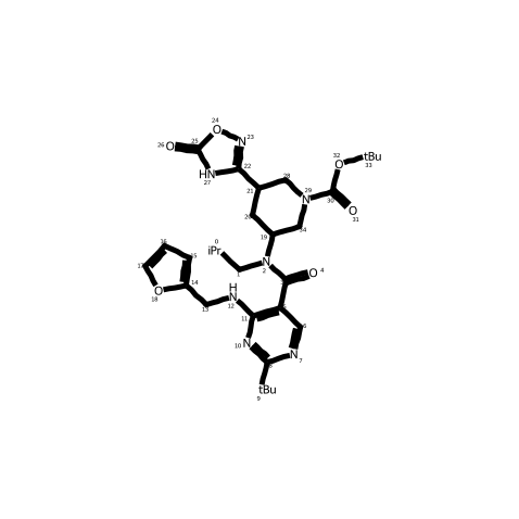 CC(C)CN(C(=O)c1cnc(C(C)(C)C)nc1NCc1ccco1)C1CC(c2noc(=O)[nH]2)CN(C(=O)OC(C)(C)C)C1